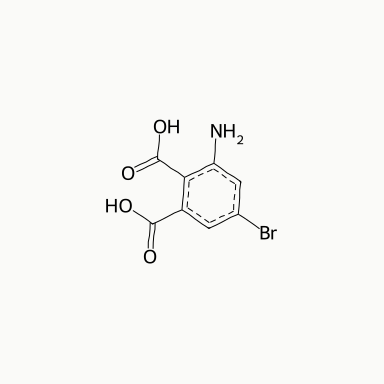 Nc1cc(Br)cc(C(=O)O)c1C(=O)O